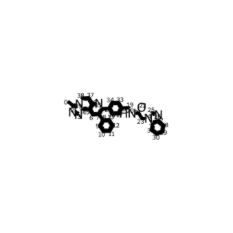 Cc1nnc2c3cc(-c4ccccc4)c(-c4ccc(CNC(=O)Cn5cnc6ccccc65)cc4)nc3ccn12